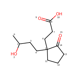 CC(O)CCC1(CCC(=O)O)CCCC1=O